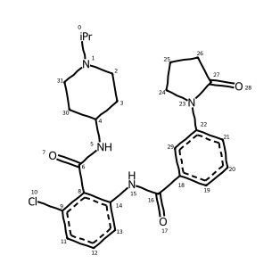 CC(C)N1CCC(NC(=O)c2c(Cl)cccc2NC(=O)c2cccc(N3CCCC3=O)c2)CC1